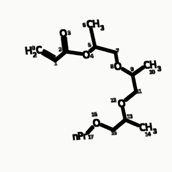 C=CC(=O)OC(C)COC(C)COC(C)COCCC